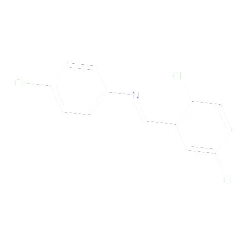 Clc1ccc(N=Cc2cc(Cl)ccc2Cl)cc1